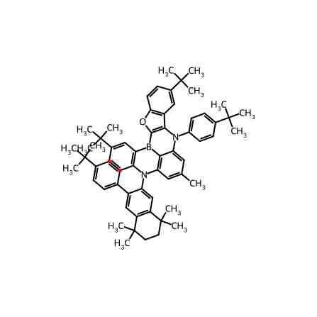 Cc1cc2c3c(c1)N(c1ccc(C(C)(C)C)cc1)c1c(oc4ccc(C(C)(C)C)cc14)B3c1cc(C(C)(C)C)ccc1N2c1cc2c(cc1-c1ccc(C(C)(C)C)cc1)C(C)(C)CCC2(C)C